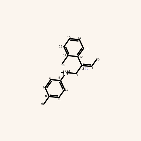 C/C=C(/CNc1ccc(C)cc1)c1ccccc1C